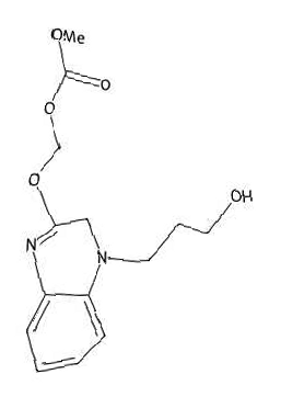 COC(=O)OCOC1=Nc2ccccc2N(CCCO)C1